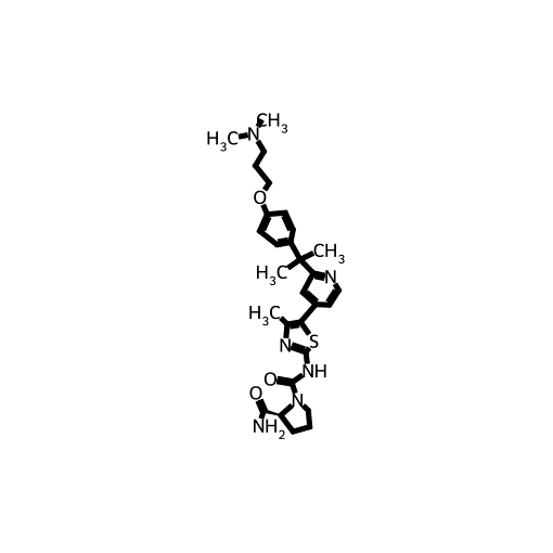 Cc1nc(NC(=O)N2CCC[C@H]2C(N)=O)sc1-c1ccnc(C(C)(C)c2ccc(OCCCN(C)C)cc2)c1